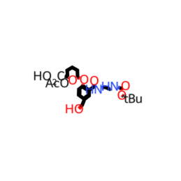 CC(=O)OC1(C(=O)O)CCCC(Oc2ccc(CO)cc2C(=O)NCCNC(=O)OC(C)(C)C)O1